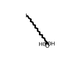 O=P(O)(O)CCCCCCCCCCCCCCCCCI